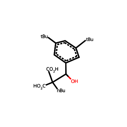 CCCCC(C(=O)O)(C(=O)O)C(O)c1cc(C(C)(C)C)cc(C(C)(C)C)c1